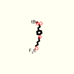 CC(C)(C)OC(=O)CCc1ccc(OCCCCCOC(F)(F)F)cc1